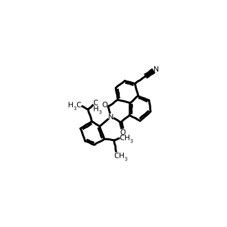 CC(C)c1cccc(C(C)C)c1N1C(=O)c2cccc3c(C#N)ccc(c23)C1=O